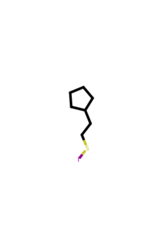 ISCCC1CCCC1